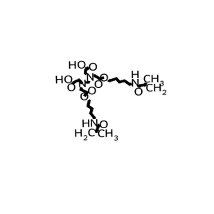 C=C(C)C(=O)NCCCCCOC(=O)CN(CC(=O)O)CN(CC(=O)O)CC(=O)OCCCCCNC(=O)C(=C)C